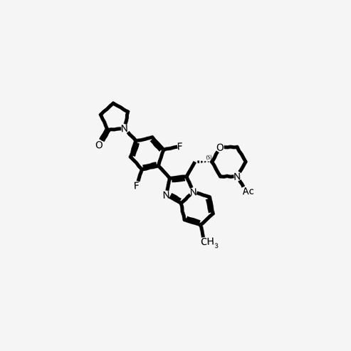 CC(=O)N1CCO[C@@H](Cc2c(-c3c(F)cc(N4CCCC4=O)cc3F)nc3cc(C)ccn23)C1